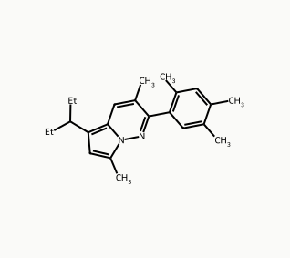 CCC(CC)c1cc(C)n2nc(-c3cc(C)c(C)cc3C)c(C)cc12